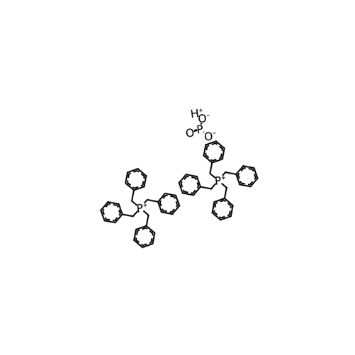 [H+].[O-]P([O-])[O-].c1ccc(C[P+](Cc2ccccc2)(Cc2ccccc2)Cc2ccccc2)cc1.c1ccc(C[P+](Cc2ccccc2)(Cc2ccccc2)Cc2ccccc2)cc1